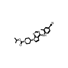 Cc1cc(C#N)ccc1Nc1ncnc2c1ccn2C1CCN(C(=O)OC(C)C)CC1